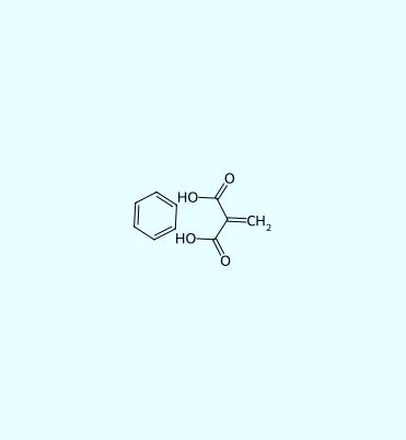 C=C(C(=O)O)C(=O)O.c1ccccc1